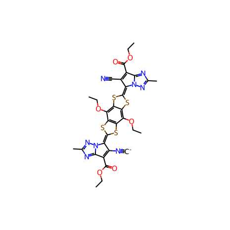 [C-]#[N+]c1c(C(=O)OCC)c2nc(C)nn2c1=C1Sc2c(OCC)c3c(c(OCC)c2S1)SC(=c1c(C#N)c(C(=O)OCC)c2nc(C)nn12)S3